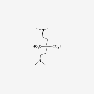 CN(C)CCC(CCN(C)C)(C(=O)O)C(=O)O